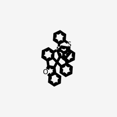 c1ccc2c(c1)Sc1ccccc1N2c1cccc2c1C1(c3ccccc3-c3ccccc31)c1c-2oc2ccccc12